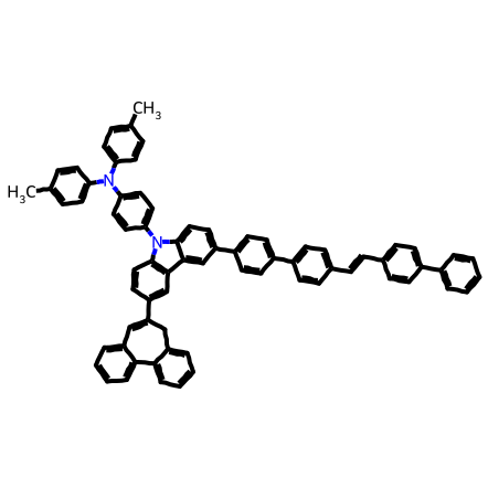 Cc1ccc(N(c2ccc(C)cc2)c2ccc(-n3c4ccc(C5=Cc6ccccc6-c6ccccc6C5)cc4c4cc(-c5ccc(-c6ccc(/C=C/c7ccc(-c8ccccc8)cc7)cc6)cc5)ccc43)cc2)cc1